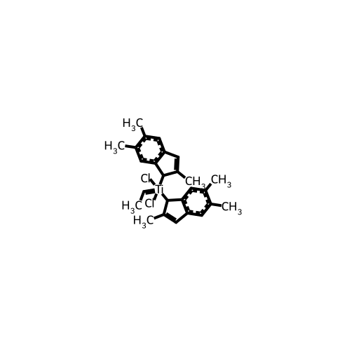 C[CH]=[Ti]([Cl])([Cl])([CH]1C(C)=Cc2cc(C)c(C)cc21)[CH]1C(C)=Cc2cc(C)c(C)cc21